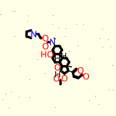 CC(=O)O[C@H]1[C@H]2O[C@]23[C@@H]2CC[C@]4(O)C[C@@H](N(C)C(=O)OCCN5CCCC5)CC[C@]4(C)[C@H]2CC[C@]3(C)[C@H]1c1ccc(=O)oc1